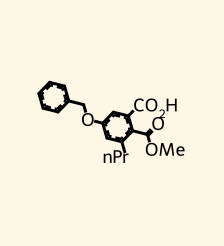 CCCc1cc(OCc2ccccc2)cc(C(=O)O)c1C(=O)OC